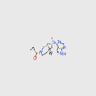 CN(c1ncnc2[nH]ccc12)[C@H]1CC2CN(C(=O)C3CC3)CC[C@H]2C1